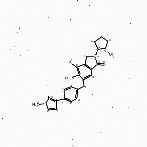 Cc1c(Cc2ccc(-c3ccn(C)n3)cc2)cc2c(c1F)CN([C@H]1CCC[C@@H]1O)C2=O